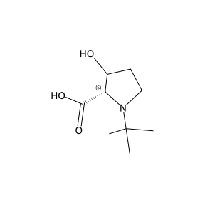 CC(C)(C)N1CCC(O)[C@H]1C(=O)O